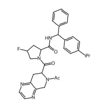 CC(=O)N1Cc2nccnc2CC1C(=O)N1CC(F)CC1C(=O)NC(c1ccccc1)c1ccc(C(C)C)cc1